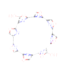 Oc1oc2nc1-c1nc(co1)-c1nc(co1)-c1nc(co1)-c1nc(c(O)o1)-c1nc(co1)-c1nc(co1)-c1nc-2co1